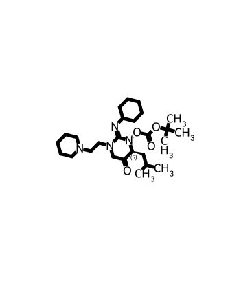 CC(C)C[C@H]1C(=O)CN(CCN2CCCCC2)C(=NC2CCCCC2)N1OC(=O)OC(C)(C)C